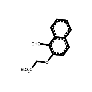 CCOC(=O)COc1ccc2ccccc2c1C=O